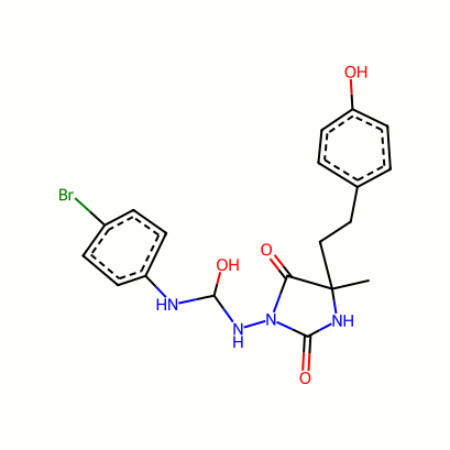 CC1(CCc2ccc(O)cc2)NC(=O)N(NC(O)Nc2ccc(Br)cc2)C1=O